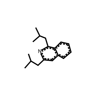 CC(C)Cc1cc2ccccc2c(CC(C)C)n1